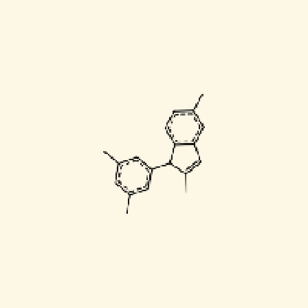 CC1=Cc2cc(C)ccc2C1c1cc(C)cc(C)c1